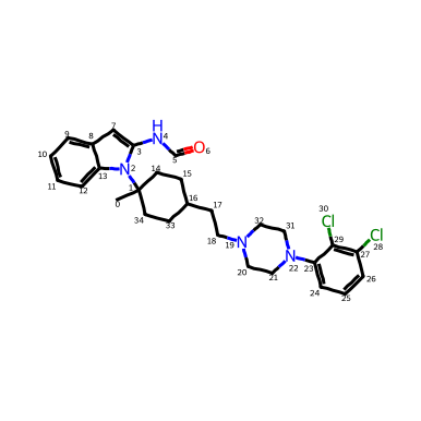 CC1(n2c(NC=O)cc3ccccc32)CCC(CCN2CCN(c3cccc(Cl)c3Cl)CC2)CC1